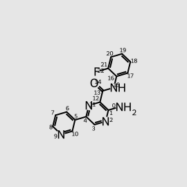 Nc1ncc(-c2cccnc2)nc1C(=O)Nc1ccccc1F